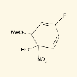 COC1C=C(F)C=CC1(O)[N+](=O)[O-]